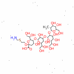 C[C@@H]1C(O)[C@H](O)C(CO)O[C@@H]1OC1C(O)[C@H](O)[C@H]([C@@H](O)CO)O[C@@H]1O[C@@H]1C(O)[C@@H](O[C@H]2C([C@H](O)CO)O[C@@](OCCSCN)(C(=O)O)C[C@H]2O)OC([C@@H](O)CO)[C@H]1O